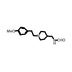 COc1ccc(CCN2CCC(CNC=O)CC2)cc1